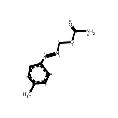 Cc1ccc(N=NCOC(N)=O)cc1